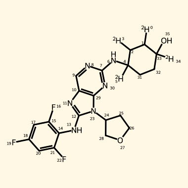 [2H]C1C([2H])C([2H])(Nc2ncc3nc(Nc4c(F)cc(F)cc4F)n(C4CCOC4)c3n2)CCC1([2H])O